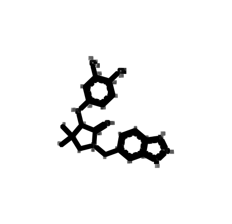 CC1(C)CN(Cc2ccc3nonc3c2)C(=O)C1Oc1ccc(C#N)c(C(F)(F)F)c1